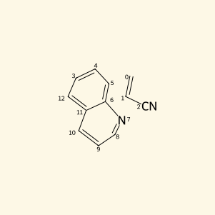 C=CC#N.c1ccc2ncccc2c1